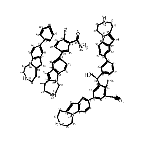 N#Cc1cc(-c2ccc3c(c2)cc2n3CCNCC2)cc(C(N)c2cccc(-c3ccc4c(c3)cc3n4CCNCC3)c2)c1F.NC(=O)c1cc(-c2ccc3c(c2)cc2n3CCNCC2)ccc1F.c1ccc(-c2ccc3c(c2)CC2CCNCCN32)cc1